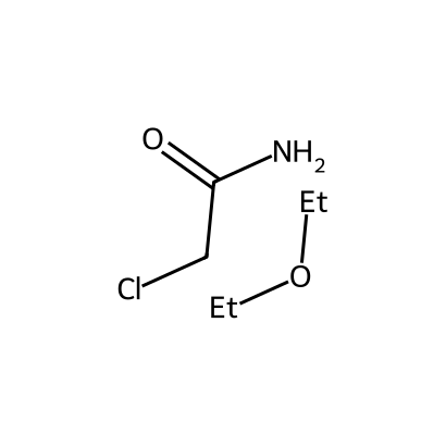 CCOCC.NC(=O)CCl